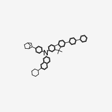 CC1(C)c2cc(-c3ccc(-c4ccccc4)cc3)ccc2-c2ccc(N(c3ccc(C4CC5CCC4C5)cc3)c3ccc4ccc(C5CCCCC5)cc4c3)cc21